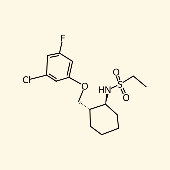 CCS(=O)(=O)N[C@H]1CCCC[C@@H]1COc1cc(F)cc(Cl)c1